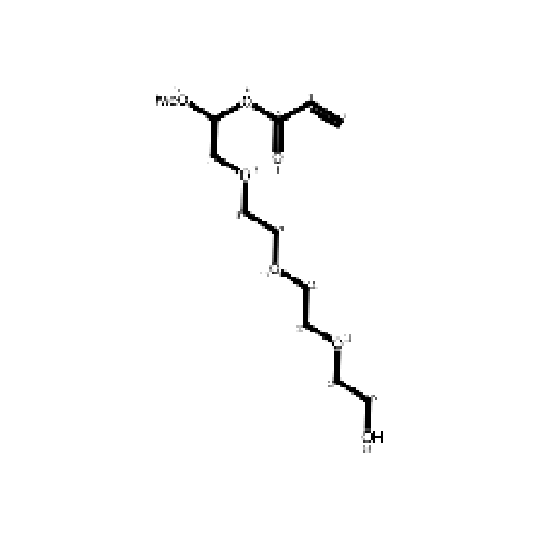 C=CC(=O)OC(COCCOCCOCCO)OC